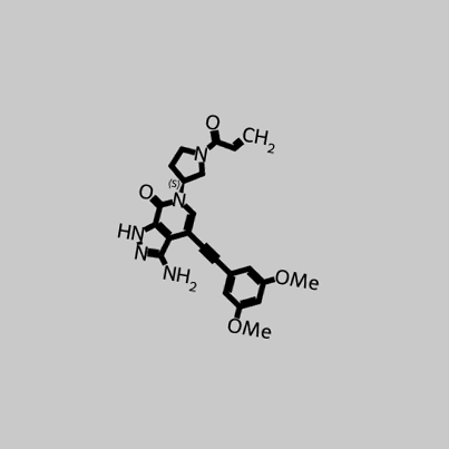 C=CC(=O)N1CC[C@H](n2cc(C#Cc3cc(OC)cc(OC)c3)c3c(N)n[nH]c3c2=O)C1